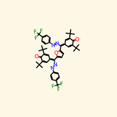 CC(C)(C)C1=CC(=C(/N=N/c2ccc(C(F)(F)F)cc2)c2ccc(C(/N=N/c3ccc(C(F)(F)F)cc3)=C3C=C(C(C)(C)C)C(=O)C(C(C)(C)C)=C3)o2)C=C(C(C)(C)C)C1=O